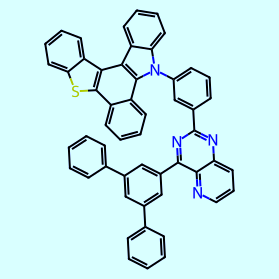 c1ccc(-c2cc(-c3ccccc3)cc(-c3nc(-c4cccc(-n5c6ccccc6c6c7c8ccccc8sc7c7ccccc7c65)c4)nc4cccnc34)c2)cc1